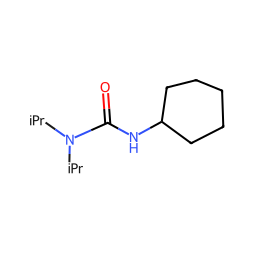 CC(C)N(C(=O)NC1CCCCC1)C(C)C